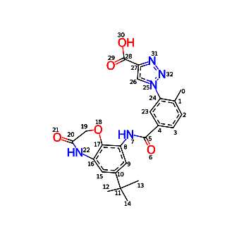 Cc1ccc(C(=O)Nc2cc(C(C)(C)C)cc3c2OCC(=O)N3)cc1-n1cc(C(=O)O)nn1